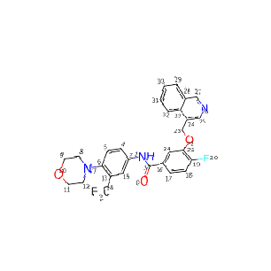 O=C(Nc1ccc(N2CCOCC2)c(C(F)(F)F)c1)c1ccc(F)c(OCc2cncc3ccccc23)c1